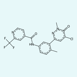 Cc1ccc(NC(=O)c2ccnc(C(F)(F)F)c2)cc1-c1cc(Cl)c(=O)n(C)n1